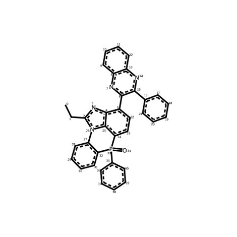 CCc1nc2c(-c3nc4ccccc4nc3-c3ccccc3)ccc3c2n1-c1ccccc1P3(=O)c1ccccc1